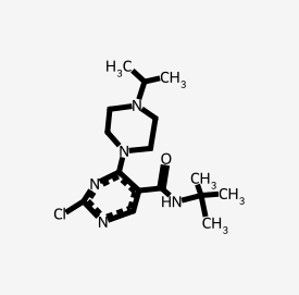 CC(C)N1CCN(c2nc(Cl)ncc2C(=O)NC(C)(C)C)CC1